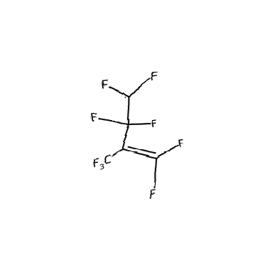 F[C](F)C(F)(F)C(=C(F)F)C(F)(F)F